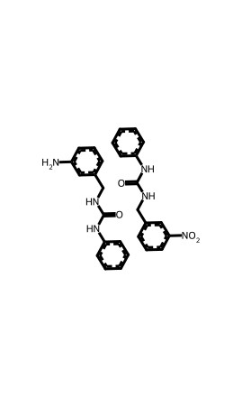 Nc1cccc(CNC(=O)Nc2ccccc2)c1.O=C(NCc1cccc([N+](=O)[O-])c1)Nc1ccccc1